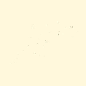 Cc1cc(OC(C)C)ccc1N1C(=O)Nc2c(C(=O)NC3CCCNC3)sc3nccc1c23